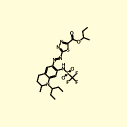 CCC(C)OC(=O)c1nnc(N=Nc2cc3c(cc2NS(=O)(=O)C(F)(F)F)N(C(CC)CC)C(C)CC3)s1